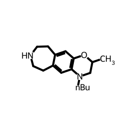 CCCCN1CC(C)Oc2cc3c(cc21)CCNCC3